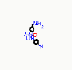 N#Cc1ccc(NC(=O)NC2CCC(CN)CC2)cc1